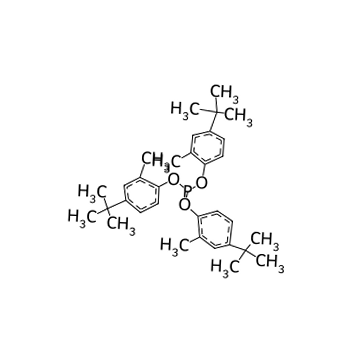 Cc1cc(C(C)(C)C)ccc1OP(Oc1ccc(C(C)(C)C)cc1C)Oc1ccc(C(C)(C)C)cc1C